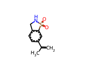 C=C(C)c1ccc2c(c1)S(=O)(=O)NC2